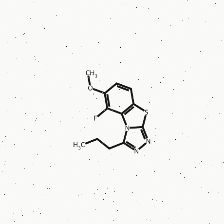 CCCc1nnc2sc3ccc(OC)c(F)c3n12